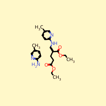 CCOC(=O)CC/C(=C/Nc1ccc(C)cn1)C(=O)OCC.Cc1ccc(N)nc1